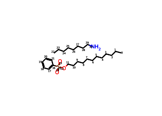 CCCCCCCCCCCCOS(=O)(=O)c1ccccc1.CCCCCCCCN